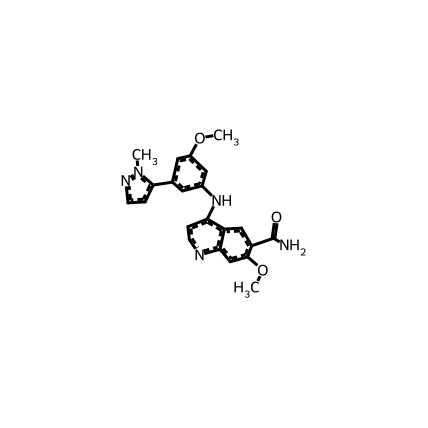 COc1cc(Nc2ccnc3cc(OC)c(C(N)=O)cc23)cc(-c2ccnn2C)c1